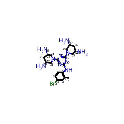 Cc1cc(Br)ccc1Nc1nc(N2C[C@H](N)C[C@H](N)C2)nc(N2C[C@H](N)C[C@H](N)C2)n1